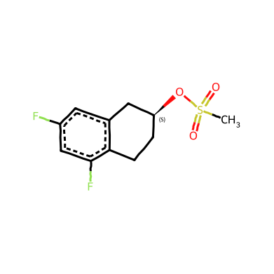 CS(=O)(=O)O[C@H]1CCc2c(F)cc(F)cc2C1